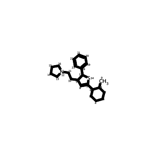 CC1CCCCC1C1=CC(CCN2CCCC2)C(c2ccccc2)S1